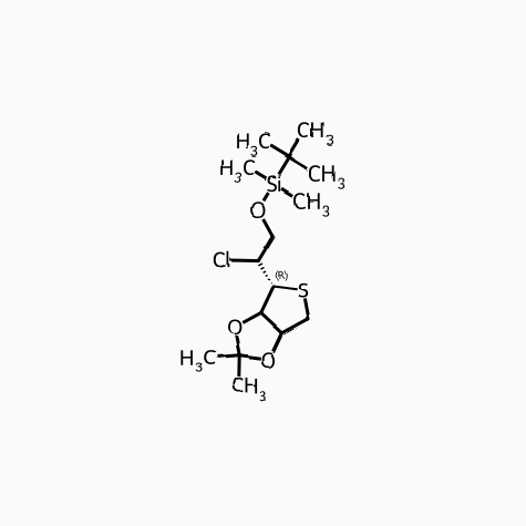 CC1(C)OC2CS[C@@H](C(Cl)CO[Si](C)(C)C(C)(C)C)C2O1